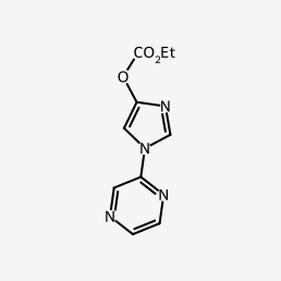 CCOC(=O)Oc1cn(-c2cnccn2)cn1